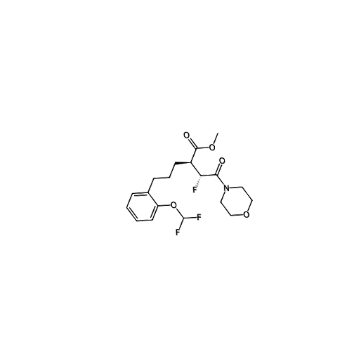 COC(=O)[C@H](CCCc1ccccc1OC(F)F)[C@@H](F)C(=O)N1CCOCC1